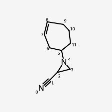 N#CC1CN1C1CC=CCCC1